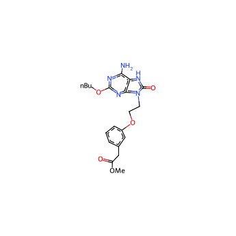 CCCCOc1nc(N)c2[nH]c(=O)n(CCOc3cccc(CC(=O)OC)c3)c2n1